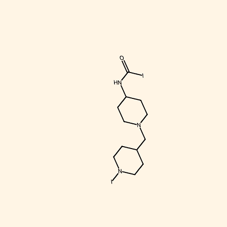 O=C(I)NC1CCN(CC2CCN(I)CC2)CC1